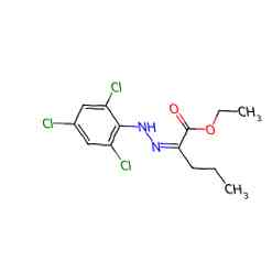 CCCC(=NNc1c(Cl)cc(Cl)cc1Cl)C(=O)OCC